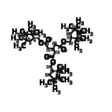 CN1C(C)(C)CC(COC(=O)CC(CC(=O)OCC2CC(C)(C)N(C)C2(C)C)CC(=O)OCC2CC(C)(C)N(C)C2(C)C)C1(C)C